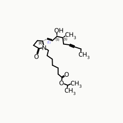 CCC#CC[C@H](C)[C@H](O)/C=C/[C@H]1CCC(=O)N1CCCCCCC(=O)OC(C)C